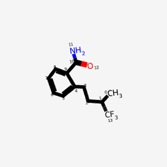 CC(CCc1ccccc1C(N)=O)C(F)(F)F